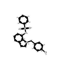 O=S(=O)(Oc1cccc2ccn(Cc3ccc(Cl)cc3)c12)c1ccccc1